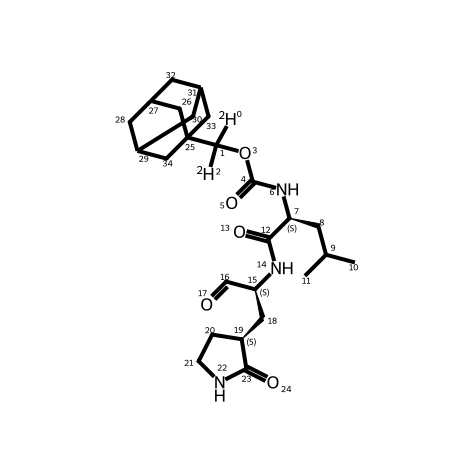 [2H]C([2H])(OC(=O)N[C@@H](CC(C)C)C(=O)N[C@H](C=O)C[C@@H]1CCNC1=O)C12CC3CC(CC(C3)C1)C2